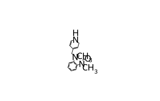 CN(C=O)c1ccccc1N(C)CC1=CCNC=C1